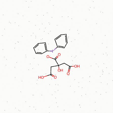 O=C(O)CC(O)(CC(=O)O)C(=O)[O-].c1ccc([I+]c2ccccc2)cc1